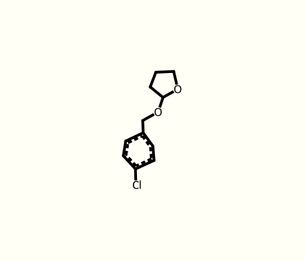 Clc1ccc(COC2CCCO2)cc1